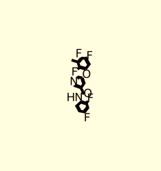 Cc1c(F)c(F)cc(Oc2cncc(C(=O)Nc3ccc(F)cc3F)c2)c1F